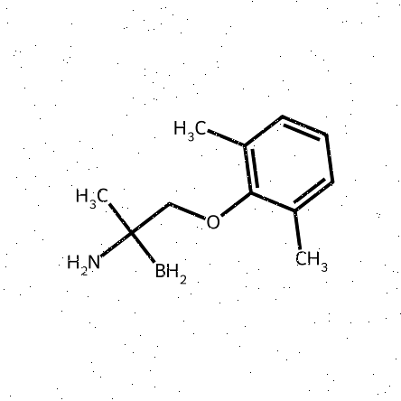 BC(C)(N)COc1c(C)cccc1C